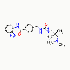 CN(C)CC(C)(C)CNC(=O)NCc1ccc(C(=O)Nc2ccccc2N)cc1